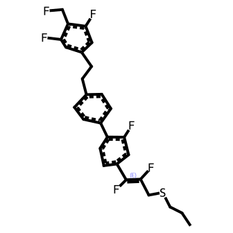 CCCSC/C(F)=C(\F)c1ccc(-c2ccc(CCc3cc(F)c(CF)c(F)c3)cc2)c(F)c1